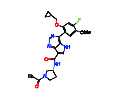 CCC(=O)N1CC[C@@H](NC(=O)c2c[nH]c3c(-c4cc(OC)c(F)cc4OCC4CC4)ncnc23)C1